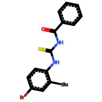 CC(C)(C)c1cc(Br)ccc1NC(=S)NC(=O)c1ccccc1